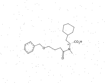 CN(C(=O)CCCOCc1ccccc1)[C@H](CC1CCCCC1)C(=O)O